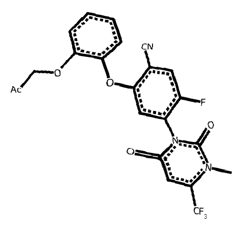 CC(=O)COc1ccccc1Oc1cc(-n2c(=O)cc(C(F)(F)F)n(C)c2=O)c(F)cc1C#N